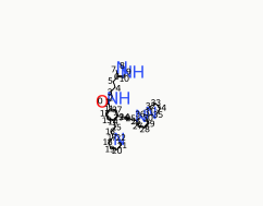 O=C(NCCCc1cn[nH]c1)c1ccc(CCC2CC=CC=N2)c(C#Cc2cccc(N3CCCC3)n2)c1